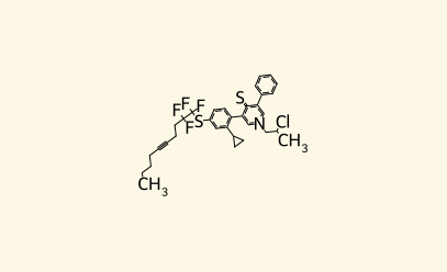 CCCCC#CCCC(F)(F)C(F)(F)Sc1ccc(-c2cn(CC(C)Cl)cc(-c3ccccc3)c2=S)c(C2CC2)c1